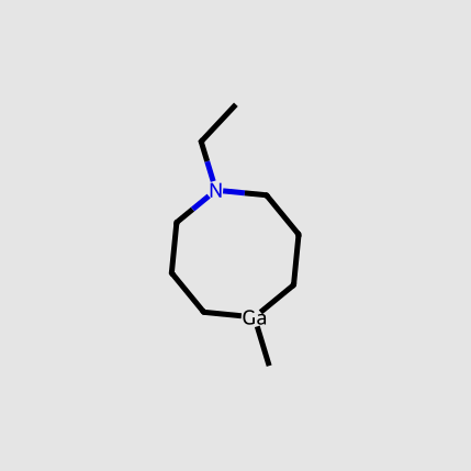 CCN1CC[CH2][Ga]([CH3])[CH2]CC1